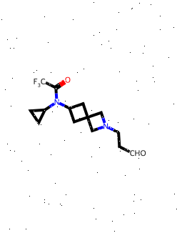 O=CCCN1CC2(CC(N(C(=O)C(F)(F)F)C3CC3)C2)C1